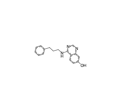 Oc1ccc2c(NCCCc3ccccc3)ncnc2c1